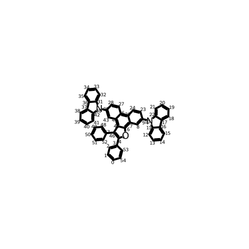 c1ccc(-c2oc3c4cc(-n5c6ccccc6c6ccccc65)ccc4c4ccc(-n5c6ccccc6c6ccccc65)cc4c3c2-c2ccccc2)cc1